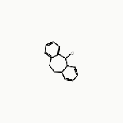 ClC1c2ccccc2CCC2C=CC=CC21